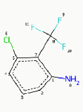 Nc1cc[c]c(Cl)c1C(F)(F)F